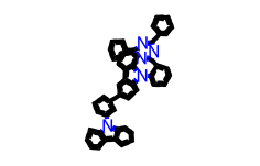 c1ccc(-c2nc(-c3ccccc3)nc(-c3ccccc3-n3c4ccccc4c4cc(-c5cccc(-n6c7ccccc7c7ccccc76)c5)ccc43)n2)cc1